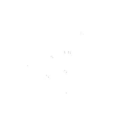 COc1nc(Cl)nc(NCC(C)Br)n1